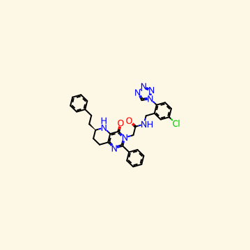 O=C(Cn1c(-c2ccccc2)nc2c(c1=O)N[C@H](CCc1ccccc1)CC2)NCc1cc(Cl)ccc1-n1cnnn1